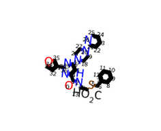 O=C(N[C@@H](CSCc1ccccc1)C(=O)O)c1cc(N2CCN(c3ccccn3)CC2)nc(-c2ccoc2)n1